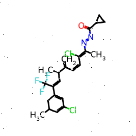 C=C(/C=C\C(Cl)=C(/C)N=NC(=O)C1CC1)[C@H](C)/C=C(/C1=CC(Cl)=CC(C)C1)C(F)(F)F